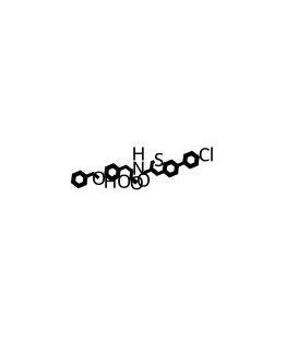 O=C(NC(Cc1ccc(OCc2ccccc2)cc1)C(=O)O)C1=Cc2ccc(-c3ccc(Cl)cc3)cc2SC1